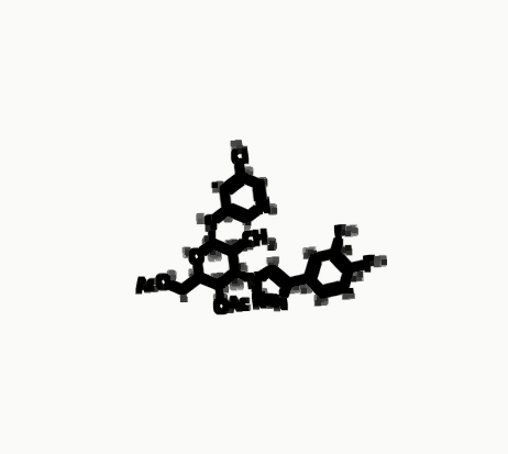 CC(=O)OCC1O[C@H](Sc2cncc(Cl)c2)C(C)[C@@H](n2cc(-c3ccc(F)c(F)c3)nn2)[C@H]1OC(C)=O